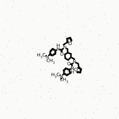 CN(C)c1ccc(NC(=O)N(Cc2ccco2)CC2CCCC(CN(Cc3ccco3)C(=O)Nc3ccc(N(C)C)cc3)C2)cc1